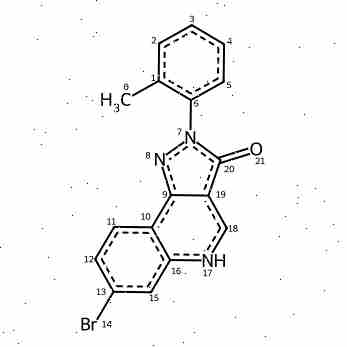 Cc1ccccc1-n1nc2c3ccc(Br)cc3[nH]cc-2c1=O